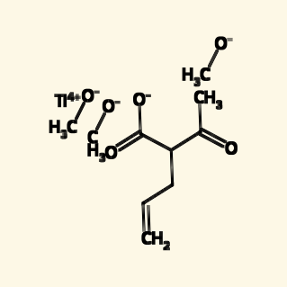 C=CCC(C(C)=O)C(=O)[O-].C[O-].C[O-].C[O-].[Ti+4]